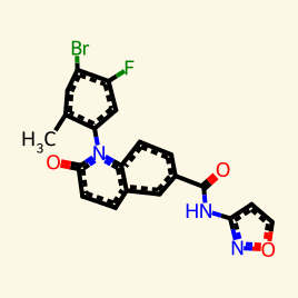 Cc1cc(Br)c(F)cc1-n1c(=O)ccc2cc(C(=O)Nc3ccon3)ccc21